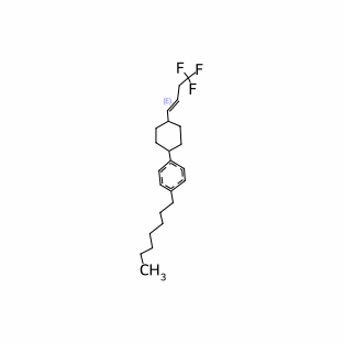 CCCCCCCc1ccc(C2CCC(/C=C/CC(F)(F)F)CC2)cc1